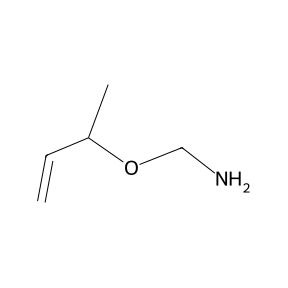 C=CC(C)OCN